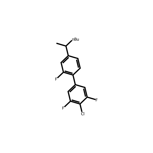 [CH2]CCCC(C)c1ccc(-c2cc(F)c(Cl)c(F)c2)c(F)c1